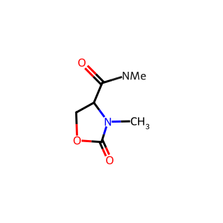 CNC(=O)C1COC(=O)N1C